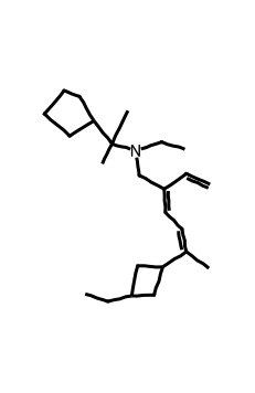 C=C/C(=C\C=C(C)C1CC(CC)C1)CN(CC)C(C)(C)C1CCCC1